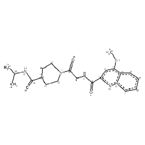 COc1cc(C(=O)NCC(=O)N2CCN(C(=O)NC(C)C)CC2)nc2ccccc12